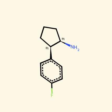 N[C@@H]1CCC[C@@H]1c1ccc(F)cc1